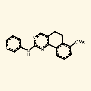 COc1cccc2c1CCc1cnc(Nc3cccnc3)nc1-2